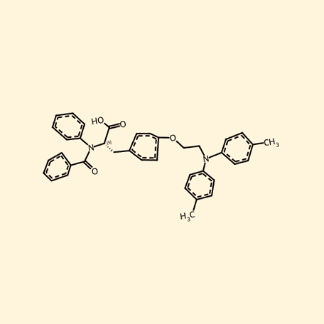 Cc1ccc(N(CCOc2ccc(C[C@@H](C(=O)O)N(C(=O)c3ccccc3)c3ccccc3)cc2)c2ccc(C)cc2)cc1